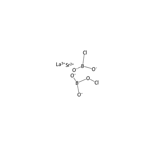 [La+3].[O-]B([O-])Cl.[O-]B([O-])OCl.[Sr+2]